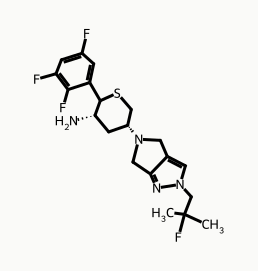 CC(C)(F)Cn1cc2c(n1)CN([C@H]1CSC(c3cc(F)cc(F)c3F)[C@@H](N)C1)C2